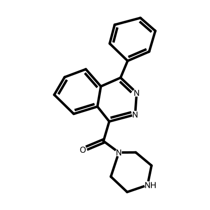 O=C(c1nnc(-c2ccccc2)c2ccccc12)N1CCNCC1